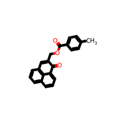 Cc1ccc(C(=O)OCC2=Cc3cccc4cccc(c34)C2=O)cc1